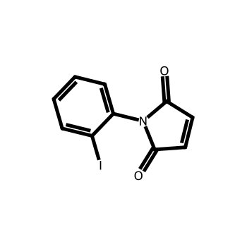 O=C1C=CC(=O)N1c1ccccc1I